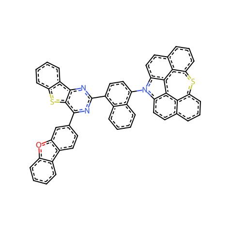 c1ccc2c(c1)oc1cc(-c3nc(-c4ccc(-n5c6ccc7cccc8sc9cccc%10ccc5c(c%109)c6c78)c5ccccc45)nc4c3sc3ccccc34)ccc12